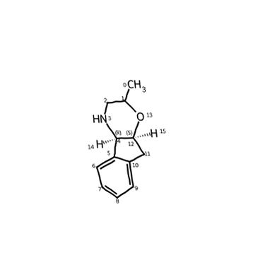 CC1CN[C@@H]2c3ccccc3C[C@@H]2O1